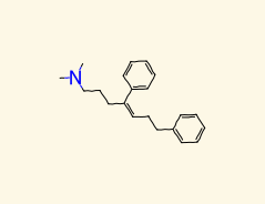 CN(C)CCCC(=CCCc1ccccc1)c1ccccc1